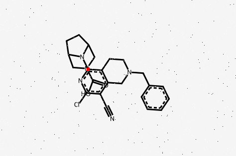 N#Cc1c(Cl)nc(N2C3CCC2CN(C(=O)O)C3)c2c1CN(Cc1ccccc1)CC2